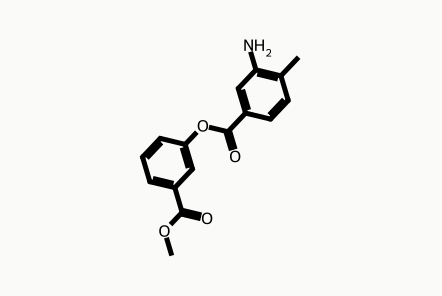 COC(=O)c1cccc(OC(=O)c2ccc(C)c(N)c2)c1